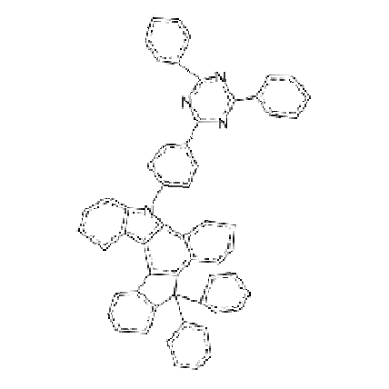 c1ccc(-c2nc(-c3ccccc3)nc(-c3ccc(-n4c5ccccc5c5c6c(c7ccccc7c54)C(c4ccccc4)(c4ccccc4)c4ccccc4-6)cc3)n2)cc1